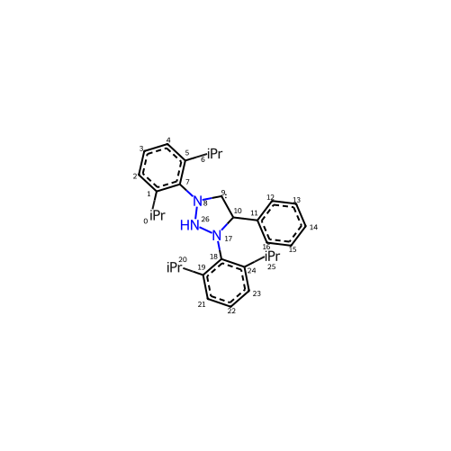 CC(C)c1cccc(C(C)C)c1N1[C]C(c2ccccc2)N(c2c(C(C)C)cccc2C(C)C)N1